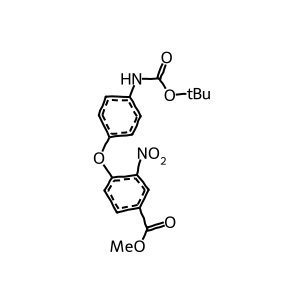 COC(=O)c1ccc(Oc2ccc(NC(=O)OC(C)(C)C)cc2)c([N+](=O)[O-])c1